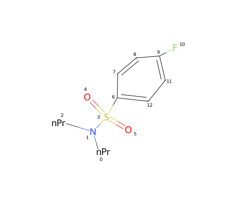 CCCN(CCC)S(=O)(=O)c1ccc(F)cc1